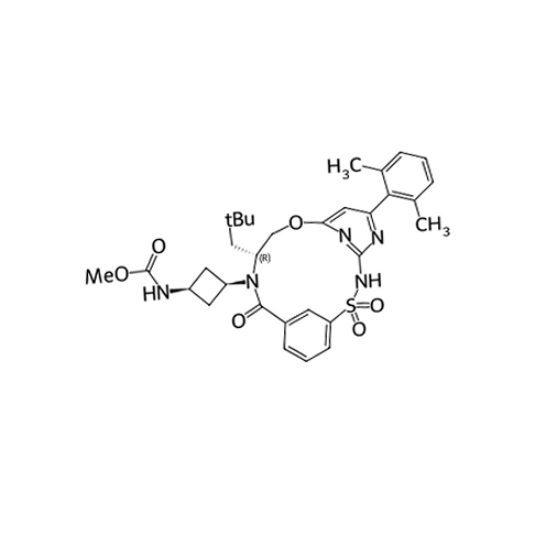 COC(=O)N[C@H]1C[C@@H](N2C(=O)c3cccc(c3)S(=O)(=O)Nc3nc(cc(-c4c(C)cccc4C)n3)OC[C@H]2CC(C)(C)C)C1